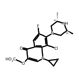 C[C@H]1CN(c2c(F)cc3c(=O)c(OC(=O)O)cn(C4CC4)c3c2Cl)C[C@H](C)N1